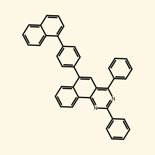 c1ccc(-c2nc(-c3ccccc3)c3cc(-c4ccc(-c5cccc6ccccc56)cc4)c4ccccc4c3n2)cc1